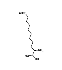 CCCCCCCCCCCCCCCCC(N)C(O)O